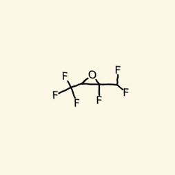 FC(F)C1(F)OC1C(F)(F)F